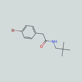 CC(C)(C)CNC(=O)Cc1ccc(Br)cc1